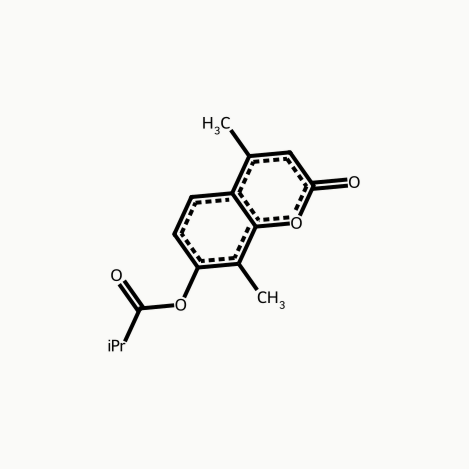 Cc1cc(=O)oc2c(C)c(OC(=O)C(C)C)ccc12